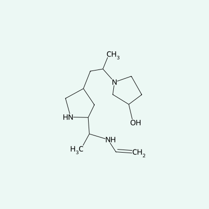 C=CNC(C)C1CC(CC(C)N2CCC(O)C2)CN1